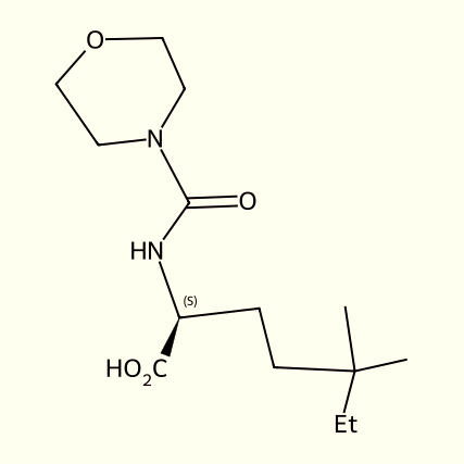 CCC(C)(C)CC[C@H](NC(=O)N1CCOCC1)C(=O)O